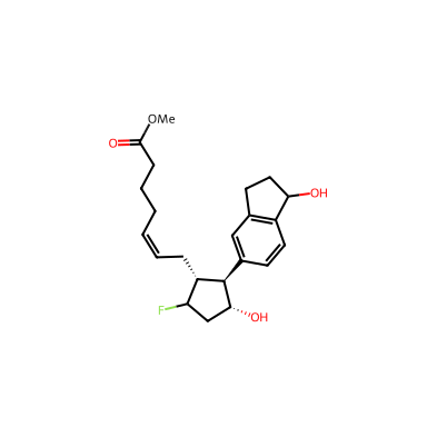 COC(=O)CCC/C=C\C[C@H]1C(F)C[C@@H](O)[C@@H]1c1ccc2c(c1)CCC2O